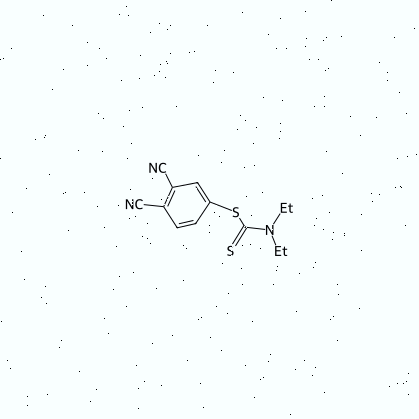 CCN(CC)C(=S)Sc1ccc(C#N)c(C#N)c1